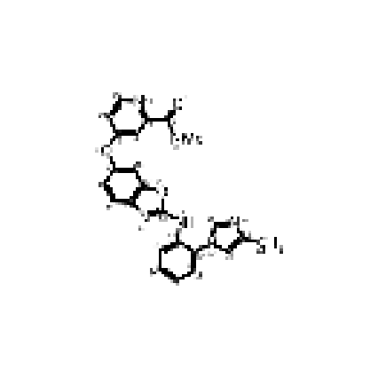 CNC(=O)c1cc(Oc2ccc3nc(Nc4ccccc4-n4cnc(C)c4)oc3c2)ccn1